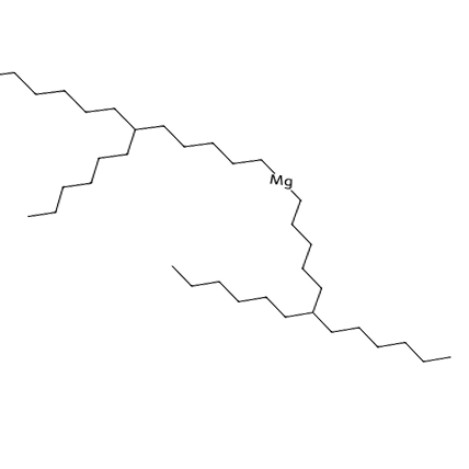 CCCCCCC(CCCCCC)CCCC[CH2][Mg][CH2]CCCCC(CCCCCC)CCCCCC